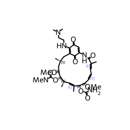 CNC(=O)O[C@H]1[C@H](C)/C=C(\C)[C@@H](OC(N)=O)[C@H](OC)/C=C\C=C(/C)C(=O)NC2=CC(=O)C(NCCN(C)C)=C(C[C@H](C)C[C@H]1OC)C2=O